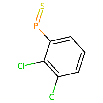 S=Pc1cccc(Cl)c1Cl